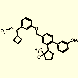 COc1cccc(-c2ccc(COc3cccc([C@@H](CC(=O)O)C4CCC4)c3)cc2C2CCCC2(C)C)c1